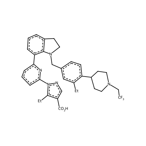 CCc1cc(CN2CCc3cccc(-c4cccc(-n5ncc(C(=O)O)c5CC)n4)c32)ccc1C1CCN(CC(F)(F)F)CC1